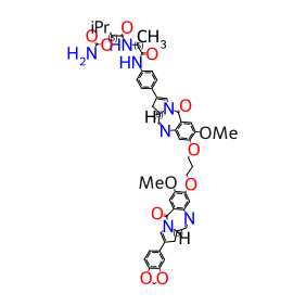 COc1cc2c(cc1OCCCOc1cc3c(cc1OC)C(=O)N1C=C(c4ccc5c(c4)OCO5)C[C@H]1C=N3)N=C[C@@H]1CC(c3ccc(NC(=O)[C@H](C)NC(=O)[C@@H](OC(N)=O)C(C)C)cc3)=CN1C2=O